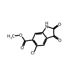 COC(=O)c1cc2c(cc1Cl)C(=O)C(=O)N2